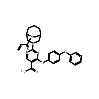 C=CC(=O)N1CC2CCCC1CN(c1ncc(C(N)=O)c(Oc3ccc(Oc4ccccc4)cc3)n1)C2